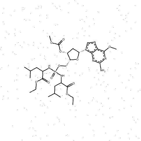 CCOC(=O)C(CC(C)C)NP(=O)(NC(CC(C)C)C(=O)OCC)OC[C@H]1O[C@@H](n2cnc3c(OC)nc(N)nc32)C[C@H]1OC(=O)OC